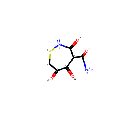 NC(=O)C1C(=O)NSCC(=O)C1=O